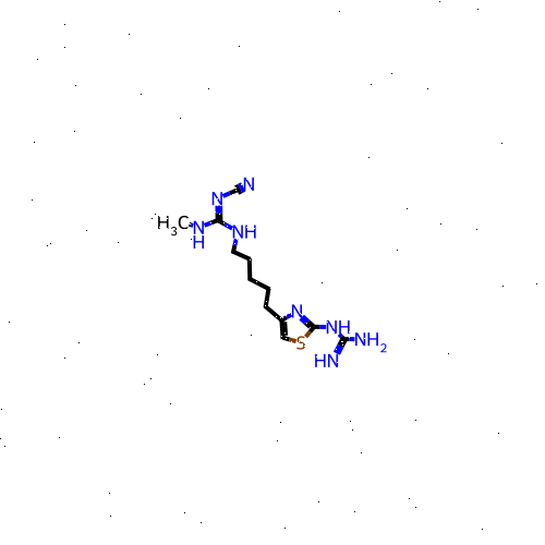 CN/C(=N/C#N)NCCCCCc1csc(NC(=N)N)n1